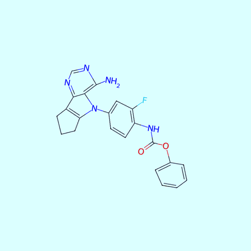 Nc1ncnc2c3c(n(-c4ccc(NC(=O)Oc5ccccc5)c(F)c4)c12)CCC3